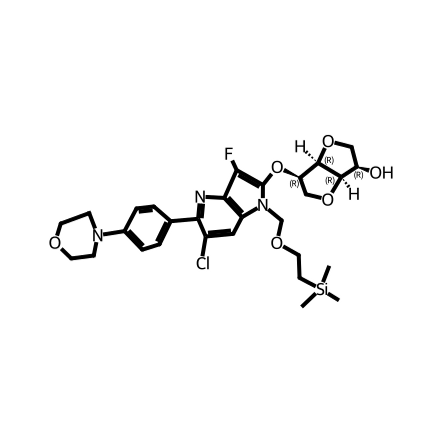 C[Si](C)(C)CCOCn1c(O[C@@H]2CO[C@H]3[C@@H]2OC[C@H]3O)c(F)c2nc(-c3ccc(N4CCOCC4)cc3)c(Cl)cc21